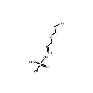 C=CCOCCO.O=C(O)P(=O)(O)O